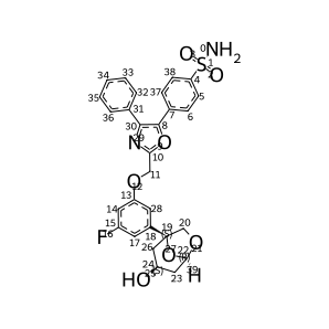 NS(=O)(=O)c1ccc(-c2oc(COc3cc(F)cc([C@]45CO[C@@H](C[C@@H](O)C4)O5)c3)nc2-c2ccccc2)cc1